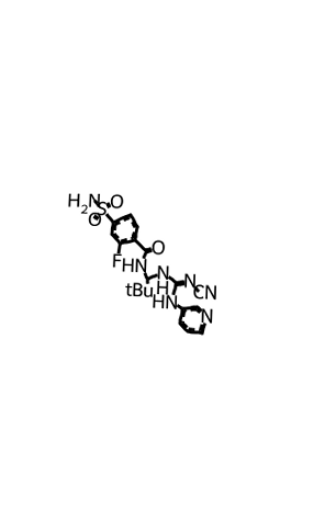 CC(C)(C)C(NC(=O)c1ccc(S(N)(=O)=O)cc1F)N/C(=N/C#N)Nc1cccnc1